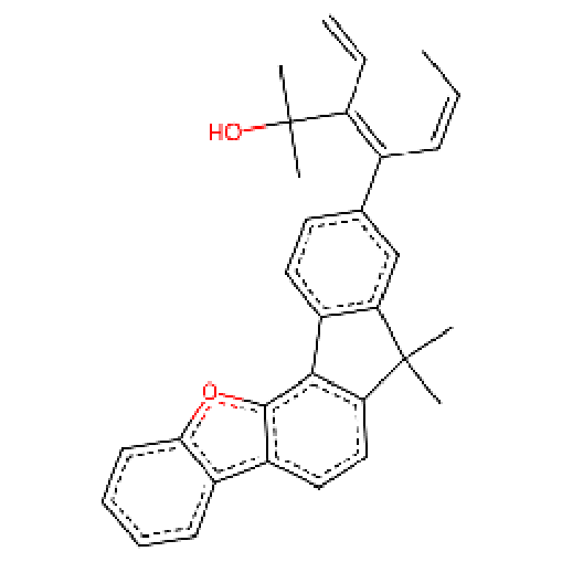 C=C/C(=C(\C=C/C)c1ccc2c(c1)C(C)(C)c1ccc3c(oc4ccccc43)c1-2)C(C)(C)O